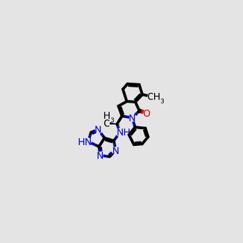 CC1=C2C(=O)N(c3ccccc3)C([C@H](C)Nc3ncnc4[nH]cnc34)=CC2CC=C1